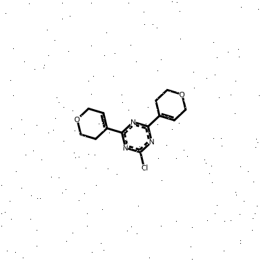 Clc1nc(C2=CCOCC2)nc(C2=CCOCC2)n1